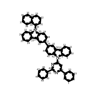 c1ccc(-c2cc(-n3c4ccccc4c4cc(-c5ccc6c(c5)c5ccccc5n6-c5cccc6ccccc56)ccc43)nc(-c3ccccc3)n2)cc1